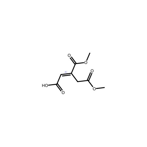 COC(=O)C/C(=C\C(=O)O)C(=O)OC